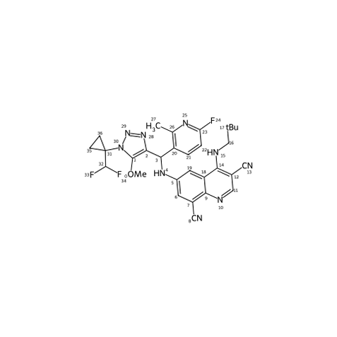 COc1c(C(Nc2cc(C#N)c3ncc(C#N)c(NCC(C)(C)C)c3c2)c2ccc(F)nc2C)nnn1C1(C(F)F)CC1